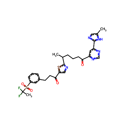 Cc1cnc(-c2cc(C(=O)CCCC(C)c3ncc(C(=O)CCc4cccc(S(=O)(=O)C(C)(F)F)c4)s3)ncn2)[nH]1